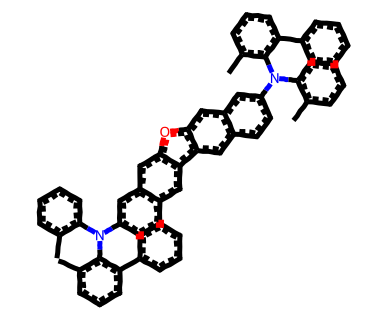 Cc1ccccc1N(c1ccc2cc3c(cc2c1)oc1cc2cc(N(c4ccccc4C)c4c(C)cccc4-c4ccccc4)ccc2cc13)c1c(C)cccc1-c1ccccc1